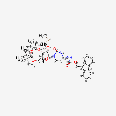 CSCO[C@@H]1[C@@H]2O[Si](C(C)C)(C(C)C)O[Si](C(C)C)(C(C)C)OC[C@H]2O[C@H]1n1ccc(NC(=O)OCC2c3ccccc3-c3ccccc32)nc1=O